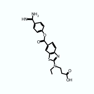 CCN(CCC(=O)O)c1nc2ccc(C(=O)Oc3ccc(C(=N)N)cc3)cc2s1